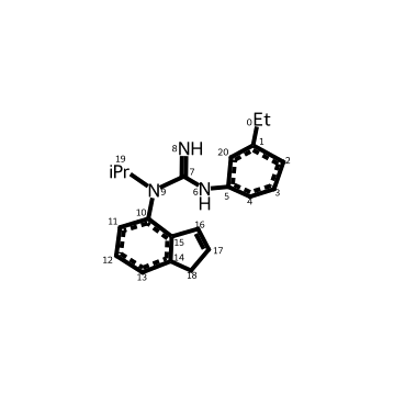 CCc1cccc(NC(=N)N(c2cccc3c2C=CC3)C(C)C)c1